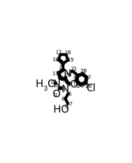 Cn1c(=O)n(CCCO)c(=O)c2c1cc(C1=CCCC1)n2Cc1ccc(Cl)cc1